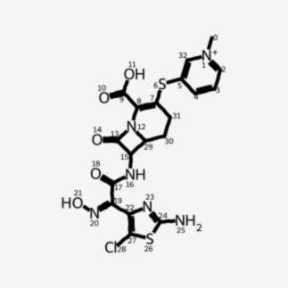 C[n+]1cccc(SC2=C(C(=O)O)N3C(=O)C(NC(=O)/C(=N\O)c4nc(N)sc4Cl)C3CC2)c1